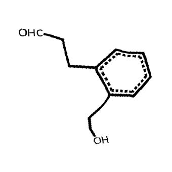 O=CCCc1ccccc1CO